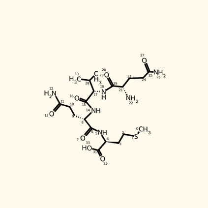 CSCC[C@H](NC(=O)[C@H](CCC(N)=O)NC(=O)[C@@H](NC(=O)[C@@H](N)CCC(N)=O)C(C)C)C(=O)O